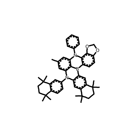 Cc1cc2c3c(c1)N(c1ccccc1)c1c(ccc4c1OCO4)B3c1cc3c(cc1N2c1ccc2c(c1)C(C)(C)CCC2(C)C)C(C)(C)CCC3(C)C